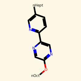 CCCCCCCCOc1cnc(-c2ccc(CCCCCCC)cn2)cn1